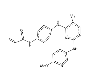 C=CC(=O)Nc1ccc(Nc2nc(Nc3ccc(OC)nc3)ncc2C(F)(F)F)cc1